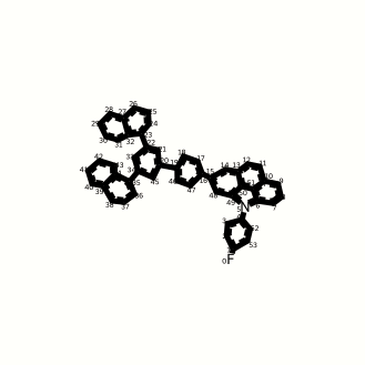 Fc1ccc(-n2c3cccc4ccc5cc(-c6ccc(-c7cc(-c8cccc9ccccc89)cc(-c8cccc9ccccc89)c7)cc6)cc2c5c43)cc1